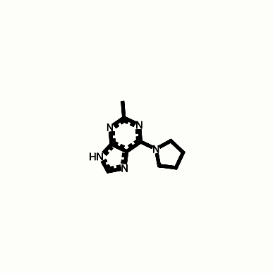 Cc1nc(N2CCCC2)c2nc[nH]c2n1